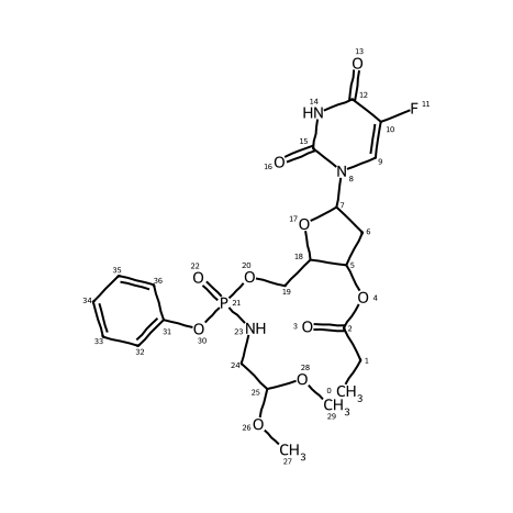 CCC(=O)OC1CC(n2cc(F)c(=O)[nH]c2=O)OC1COP(=O)(NCC(OC)OC)Oc1ccccc1